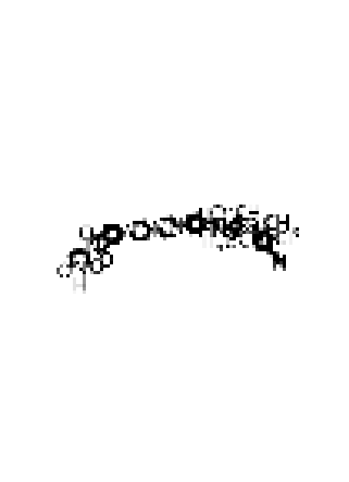 Cc1c(O[C@H]2C(C)(C)[C@H](NC(=O)c3ccc(N4CCN(C5CCN(c6ccc7c(c6)C(=O)N(C6CCC(=O)NC6=O)C7=O)CC5)CC4)cc3)C2(C)C)ccc(C#N)c1Cl